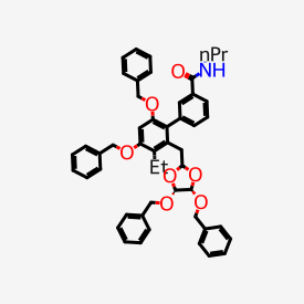 CCCNC(=O)c1cccc(-c2c(OCc3ccccc3)cc(OCc3ccccc3)c(CC)c2CC2O[C@@H](OCc3ccccc3)[C@H](OCc3ccccc3)O2)c1